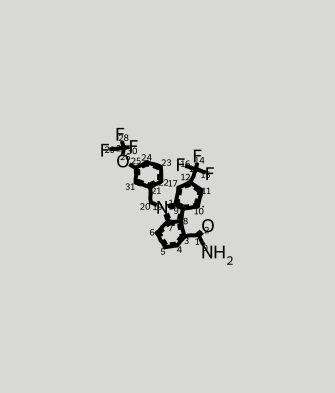 NC(=O)c1cccc2c1c1[c]cc(C(F)(F)F)cc1n2Cc1cccc(OC(F)(F)F)c1